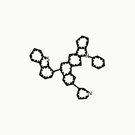 c1ccc(-n2c3ccccc3c3cc4cc(-c5cccc6c5sc5ccccc56)c5ccc(-c6cccnc6)cc5c4cc32)cc1